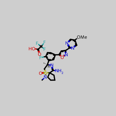 CN=S1(=O)C[C@@](C)(c2cc(-c3cc(-c4ncc(OC)cn4)no3)ccc2F)N=C(N)C12CCCC2.O=C(O)C(F)(F)F